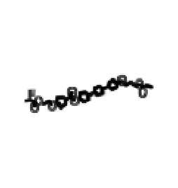 C=CC(=O)OCCCOc1ccc(-c2ccc(-c3ccc(OC(=O)c4ccc(OCCOC(=O)C(C)F)cc4)cc3)cc2)cc1